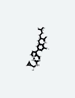 CC1=Nc2c(F)cc(-c3ccn4nc(N[C@H](C)C5CC5)ncc34)cc2CC1CCC(C)C